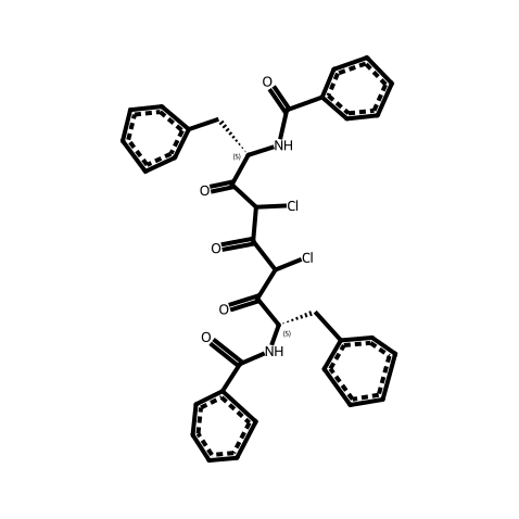 O=C(N[C@@H](Cc1ccccc1)C(=O)C(Cl)C(=O)C(Cl)C(=O)[C@H](Cc1ccccc1)NC(=O)c1ccccc1)c1ccccc1